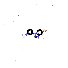 Nc1cccc(-n2cnc3cc(Br)ccc32)c1